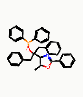 CC1OC(c2ccccc2)=NC1C(Cc1ccccc1)(Cc1ccccc1)OP(c1ccccc1)c1ccccc1